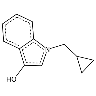 Oc1cn(CC2CC2)c2ccccc12